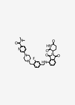 CN(C)C(=O)c1ccc(N2CCN(Cc3ccc(CNc4cccc5c4C(=O)N(C4CCC(=O)NC4=O)C5=O)cc3F)CC2)cn1